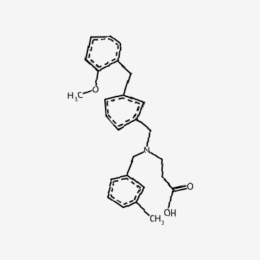 COc1ccccc1Cc1cccc(CN(CCC(=O)O)Cc2cccc(C)c2)c1